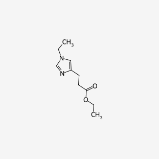 CCOC(=O)CCc1cn(CC)cn1